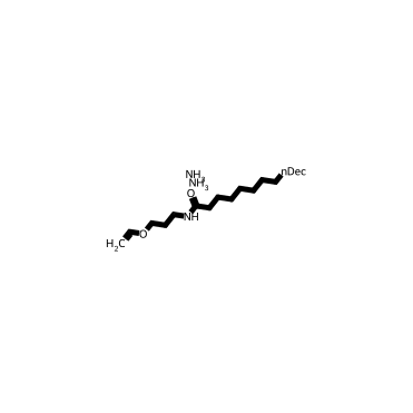 C=COCCCNC(=O)CCCCCCCCCCCCCCCCC.N.N